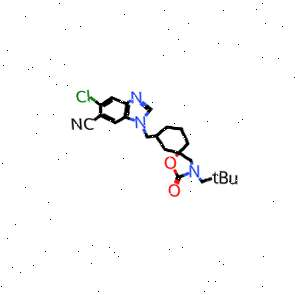 CC(C)(C)CN1CC2(CCCC(Cn3cnc4cc(Cl)c(C#N)cc43)C2)OC1=O